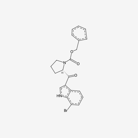 O=C(c1c[nH]c2c(Br)cccc12)[C@@H]1CCCN1C(=O)OCc1ccccc1